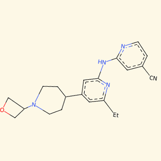 CCc1cc(C2CCN(C3COC3)CC2)cc(Nc2cc(C#N)ccn2)n1